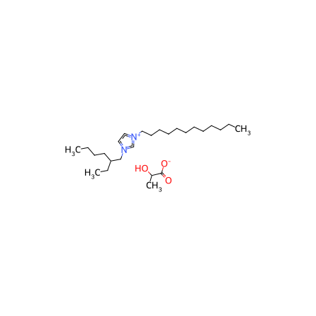 CC(O)C(=O)[O-].CCCCCCCCCCCC[n+]1ccn(CC(CC)CCCC)c1